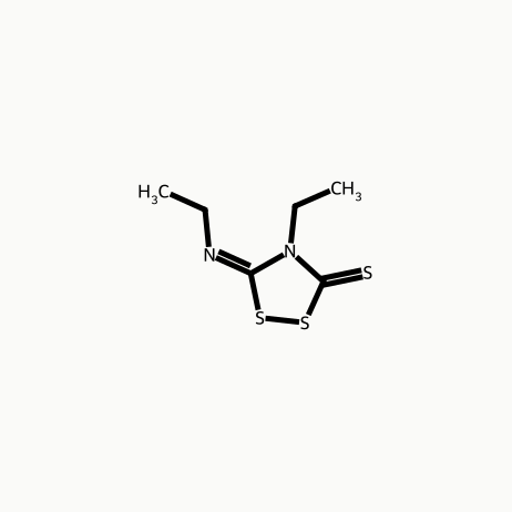 CCN=c1ssc(=S)n1CC